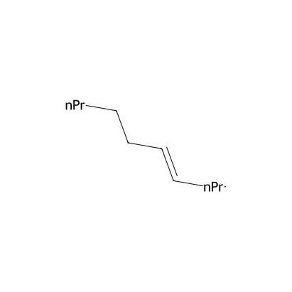 CC[CH]C=CCCCCC